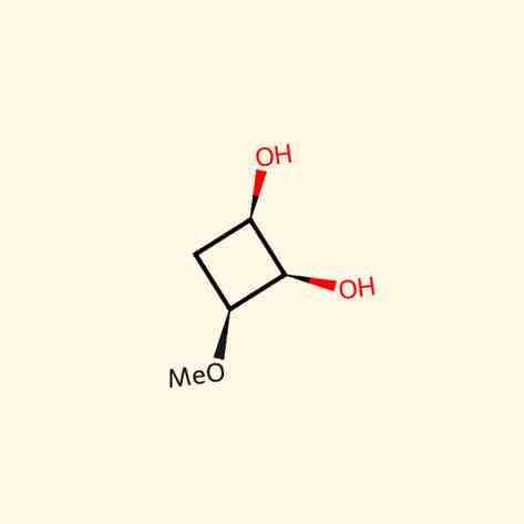 CO[C@H]1C[C@@H](O)[C@H]1O